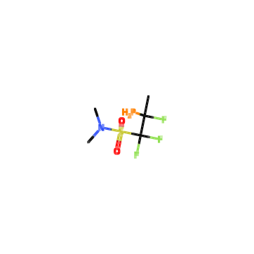 CN(C)S(=O)(=O)C(F)(F)C(C)(F)P